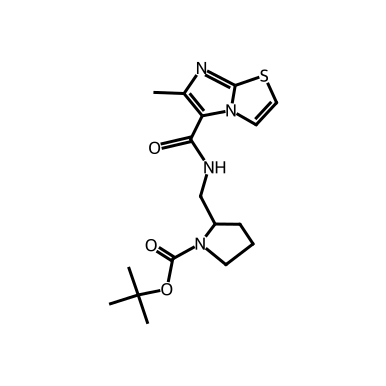 Cc1nc2sccn2c1C(=O)NCC1CCCN1C(=O)OC(C)(C)C